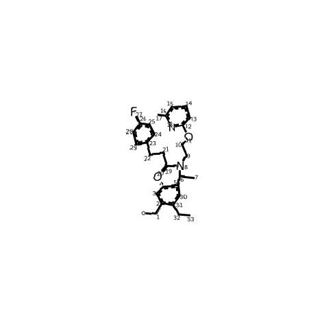 CCc1ccc(C(C)N(CCOc2cccc(C)n2)C(=O)CCc2ccc(F)cc2)cc1CC